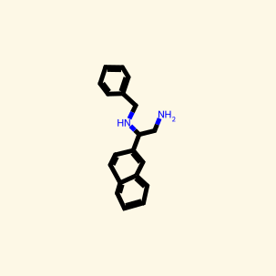 NCC(NCc1ccccc1)c1ccc2ccccc2c1